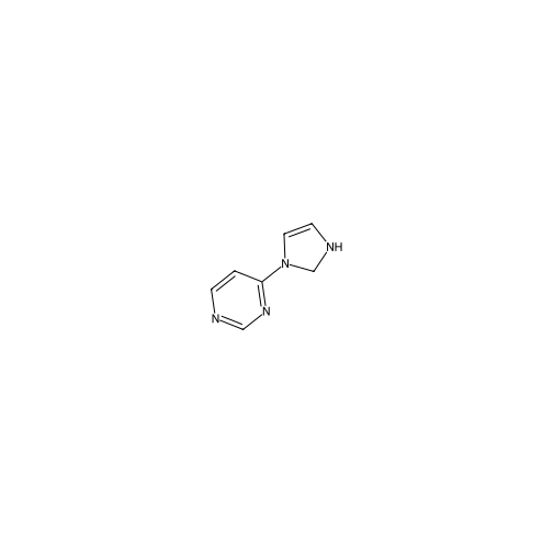 C1=CN(c2ccncn2)CN1